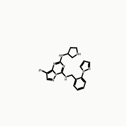 CC(C)c1cnn2c(NCc3ccccc3-n3cccn3)nc(NC3CCNC3)nc12